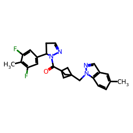 Cc1ccc2c(cnn2CC23CC(C(=O)N4N=CCC4c4cc(F)c(C)c(F)c4)(C2)C3)c1